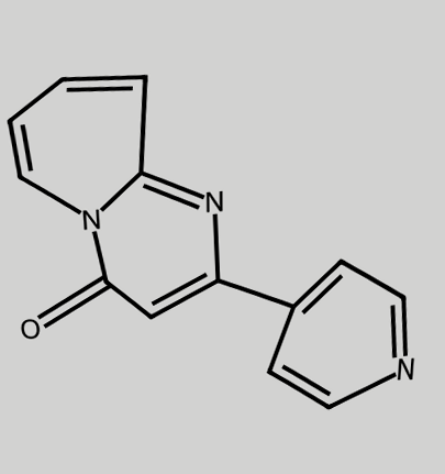 O=c1cc(-c2ccncc2)nc2ccccn12